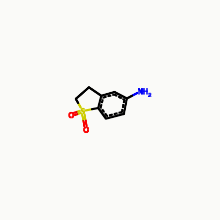 Nc1ccc2c(c1)CCS2(=O)=O